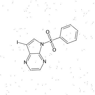 O=S(=O)(c1ccccc1)n1cc(I)c2nccnc21